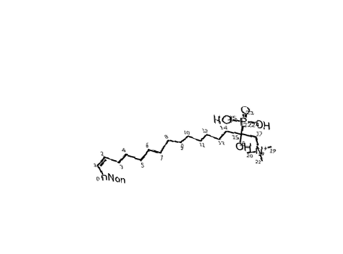 CCCCCCCCC/C=C\CCCCCCCCCCCCC(O)(C[N+](C)(C)C)P(=O)(O)O